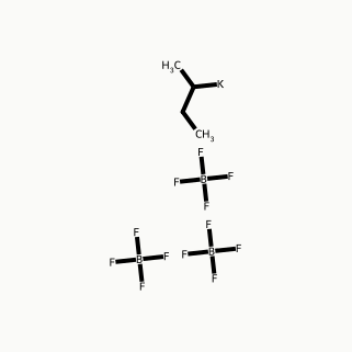 CC[CH](C)[K].F[B-](F)(F)F.F[B-](F)(F)F.F[B-](F)(F)F